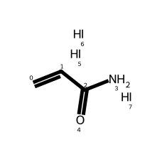 C=CC(N)=O.I.I.I